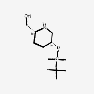 CC(C)(C)[Si](C)(C)O[C@@H]1CC[C@H](CO)NC1